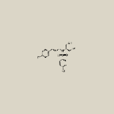 CC(C)C[C@H](CO)N(CC=Cc1ccc(F)cc1)S(=O)(=O)c1ccc(Cl)cc1